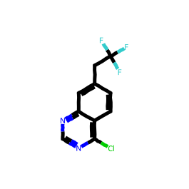 FC(F)(F)Cc1ccc2c(Cl)ncnc2c1